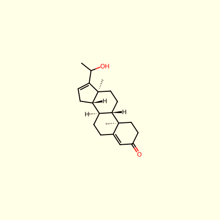 CC(O)C1=CC[C@H]2[C@@H]3CCC4=CC(=O)CC[C@]4(C)[C@H]3CC[C@]12C